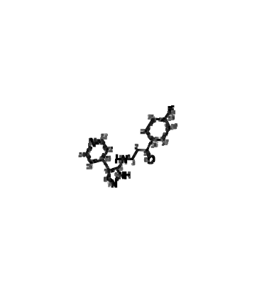 O=C(CCNc1[nH]ncc1-c1ccncc1)c1ccc(F)cc1